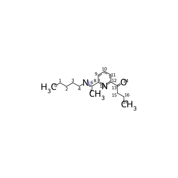 CCCCC/N=C(\C)c1cccc(C(=O)CCC)n1